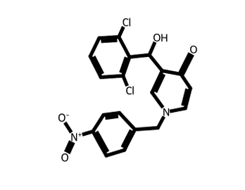 O=c1ccn(Cc2ccc([N+](=O)[O-])cc2)cc1C(O)c1c(Cl)cccc1Cl